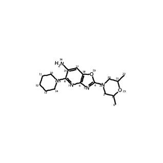 CC1CN(c2nc3nc(N4CCCCC4)c(N)cc3o2)CC(C)O1